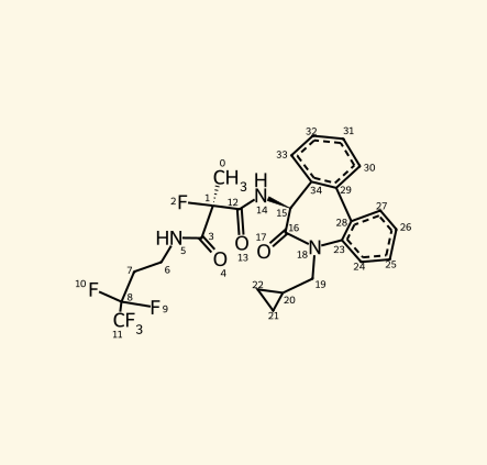 C[C@@](F)(C(=O)NCCC(F)(F)C(F)(F)F)C(=O)N[C@@H]1C(=O)N(CC2CC2)c2ccccc2-c2ccccc21